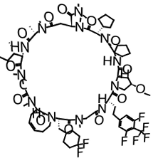 CCO[C@@H]1C[C@H]2C(=O)NC3(CCCC3)C(=O)N(C)[C@@H](C3CCCC3)C(=O)N(C)[C@H](C(=O)N(C)C)CC(=O)N(C)[C@@H](C)C(=O)N[C@@H]([C@@H](C)CC)C(=O)N(C)CC(=O)N(C)[C@H]3C/C=C\CCN(C3=O)[C@@H](CC3CCC(F)(F)CC3)C(=O)N(C)CC(=O)N[C@@H](CCc3cc(F)c(C(F)(F)F)c(F)c3)C(=O)N2C1